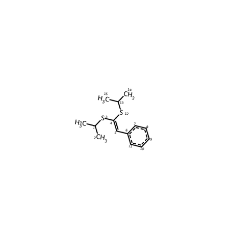 CC(C)SC(=Cc1ccccc1)SC(C)C